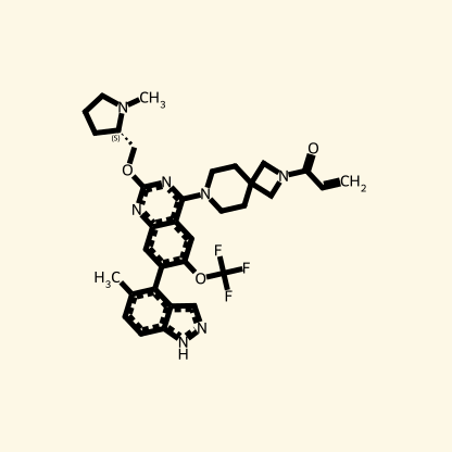 C=CC(=O)N1CC2(CCN(c3nc(OC[C@@H]4CCCN4C)nc4cc(-c5c(C)ccc6[nH]ncc56)c(OC(F)(F)F)cc34)CC2)C1